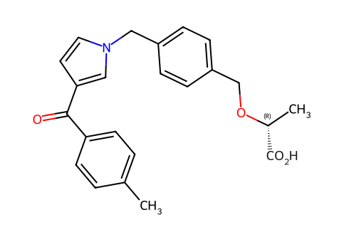 Cc1ccc(C(=O)c2ccn(Cc3ccc(CO[C@H](C)C(=O)O)cc3)c2)cc1